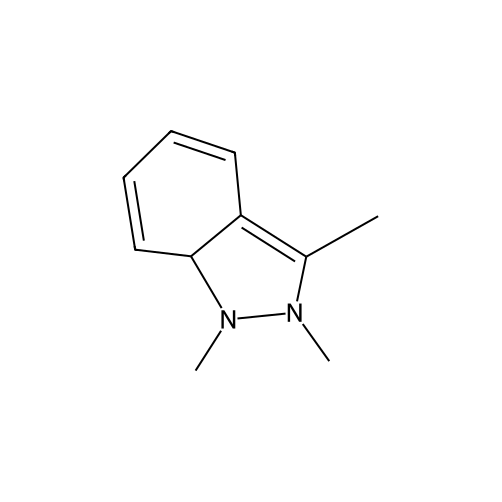 CC1=C2C=CC=CC2N(C)N1C